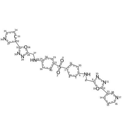 O=S(=O)(c1ccc(NCc2nnc(-c3cccnc3)o2)cc1)c1ccc(NCc2nnc(-c3cccnc3)o2)cc1